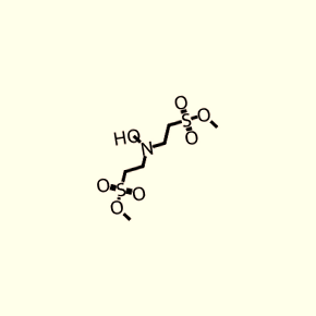 COS(=O)(=O)CCN(O)CCS(=O)(=O)OC